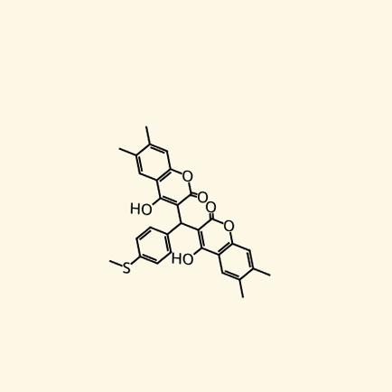 CSc1ccc(C(c2c(O)c3cc(C)c(C)cc3oc2=O)c2c(O)c3cc(C)c(C)cc3oc2=O)cc1